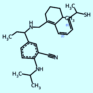 CCC(NCC1=C(/C=C\C=C\C(C)S)C(C)CCC1)c1ccc(NC(C)C)c(C#N)c1